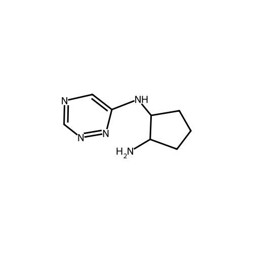 NC1CCCC1Nc1cncnn1